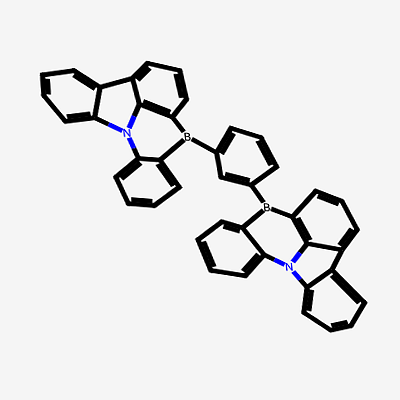 c1cc(B2c3ccccc3-n3c4ccccc4c4cccc2c43)cc(B2c3ccccc3-n3c4ccccc4c4cccc2c43)c1